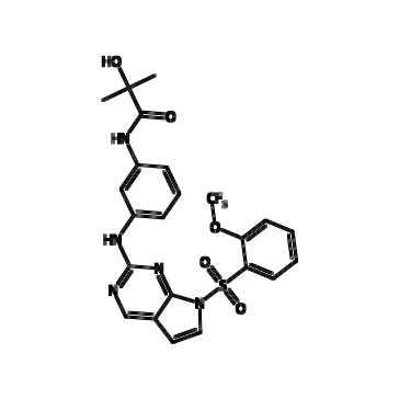 CC(C)(O)C(=O)Nc1cccc(Nc2ncc3ccn(S(=O)(=O)c4ccccc4OC(F)(F)F)c3n2)c1